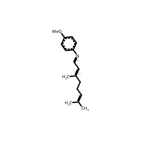 COc1ccc(/N=C/C=C(\C)CCC=C(C)C)cc1